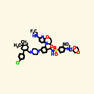 CC1(C)CCC(CN2CCN(c3ccc(C(=O)NS(=O)(=O)c4ccc(NC[C@H]5COCCO5)c([N+](=O)[O-])c4)c(N4CCCOc5nc(NCC(F)(F)F)ccc54)c3)CC2)=C(c2ccc(Cl)cc2)C1